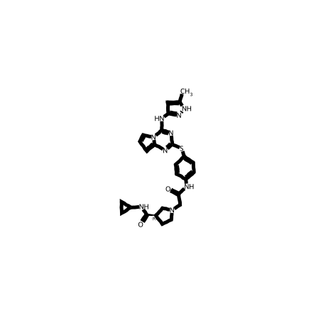 Cc1cc(Nc2nc(Sc3ccc(NC(=O)CN4CC[C@@H](C(=O)NC5CC5)C4)cc3)nc3cccn23)n[nH]1